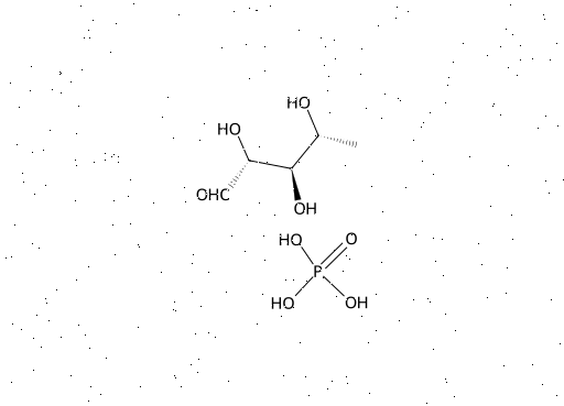 C[C@@H](O)[C@@H](O)[C@@H](O)C=O.O=P(O)(O)O